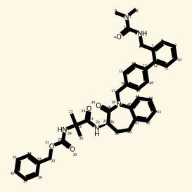 CN(C)C(=O)NCc1ccccc1-c1ccc(CN2C(=O)[C@H](NC(=O)C(C)(C)NC(=O)OCc3ccccc3)CCc3ccccc32)cc1